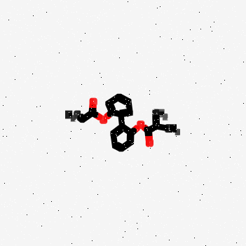 C=CC(=O)Oc1ccccc1-c1ccccc1OC(=O)C(=C)C